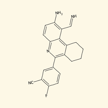 N#Cc1cc(-c2nc3ccc(N)c(C=N)c3c3c2CCCC3)ccc1F